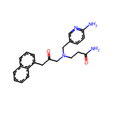 NC(=O)CCN(CC(=O)Cc1cccc2ccccc12)Cc1ccc(N)nc1